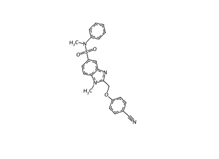 CN(c1ccccc1)S(=O)(=O)c1ccc2c(c1)nc(COc1ccc(C#N)cc1)n2C